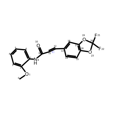 COc1ccccc1NC(=O)/C=C/c1ccc2c(c1)OC(F)(F)O2